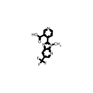 Cn1c(-c2ccncc2C(=O)O)nc2cc(C(F)(F)F)cnc21